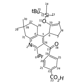 CC(C)c1nc2c(c(C3CCC=C3O[Si](C)(C)C(C)(C)C)c1C(=O)c1ccc(C(=O)O)cc1)CCC(C)(C)C2